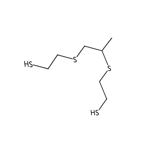 CC(CSCCS)SCCS